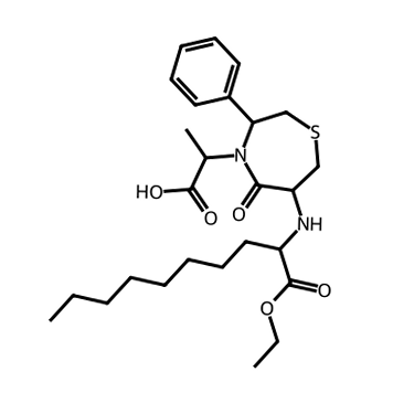 CCCCCCCCC(NC1CSCC(c2ccccc2)N(C(C)C(=O)O)C1=O)C(=O)OCC